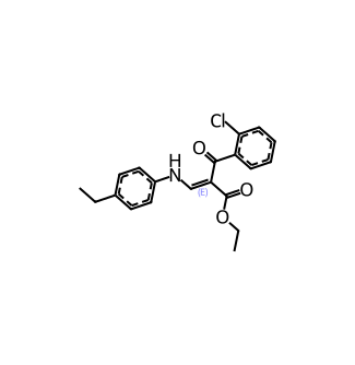 CCOC(=O)/C(=C/Nc1ccc(CC)cc1)C(=O)c1ccccc1Cl